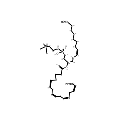 CCCCC/C=C\C/C=C\C/C=C\C/C=C\CCCC(=O)O[C@H](CO/C=C\CCCCCCCCCCCCCCCC)COP(=O)([O-])OCC[N+](C)(C)C